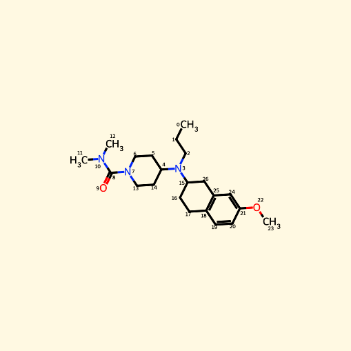 CCCN(C1CCN(C(=O)N(C)C)CC1)C1CCc2ccc(OC)cc2C1